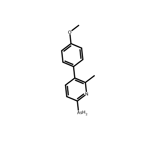 COc1ccc(-c2ccc([AsH2])nc2C)cc1